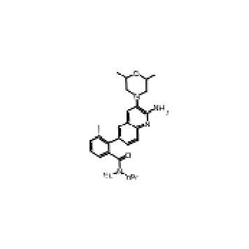 CCCN(CC)C(=O)c1cccc(C)c1-c1ccc2nc(N)c(N3CC(C)OC(C)C3)cc2c1